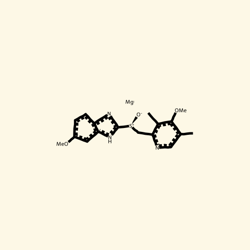 COc1ccc2nc([S@@+]([O-])Cc3ncc(C)c(OC)c3C)[nH]c2c1.[Mg]